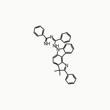 CC1(C)C(c2ccccc2)=Nc2c1ccc1c2c2ccccc2n1N/C(=N\C(=N)c1ccccc1)c1ccccc1